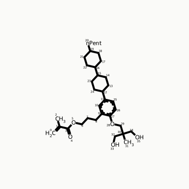 C=C(C)C(=O)OCCCc1cc(C2CCC(C3CCC(CCCCC)CC3)CC2)ccc1OCC(C)(CO)CO